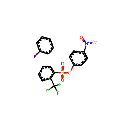 Ic1ccccc1.O=[N+]([O-])c1ccc(OS(=O)(=O)c2ccccc2C(F)(F)F)cc1